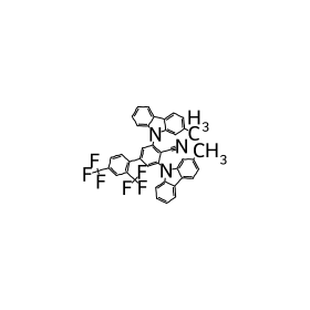 Cc1ccc2c3ccccc3n(-c3cc(-c4ccc(C(F)(F)F)cc4C(F)(F)F)cc(-n4c5ccccc5c5ccc(C)cc54)c3C#N)c2c1